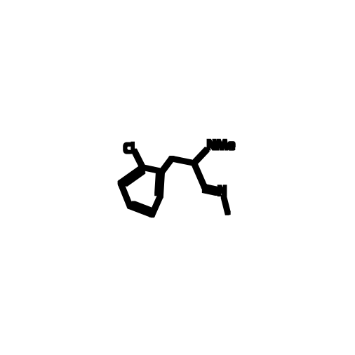 C/N=C/C(Cc1ccccc1Cl)NC